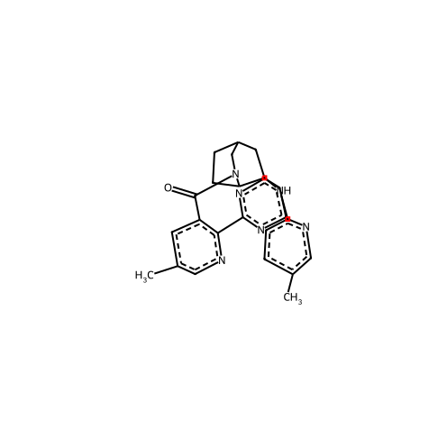 Cc1ccc(NC2CC3CCC2N(C(=O)c2cc(C)cnc2-c2ncccn2)C3)nc1